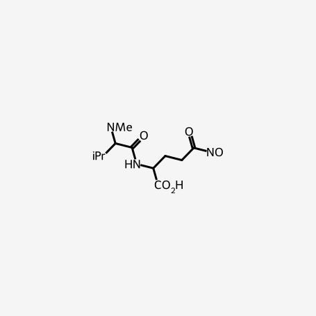 CNC(C(=O)NC(CCC(=O)N=O)C(=O)O)C(C)C